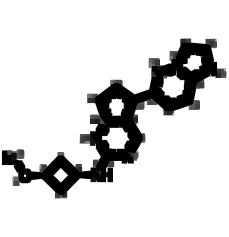 CCO[C@H]1C[C@@H](Nc2ncc3c(-c4ccc5nccn5n4)ccn3n2)C1